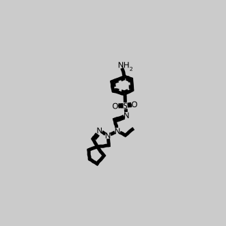 CCN(C=NS(=O)(=O)c1ccc(N)cc1)N1CC2(C=N1)CCCC2